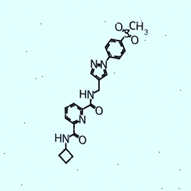 CS(=O)(=O)c1ccc(-n2cc(CNC(=O)c3cccc(C(=O)NC4CCC4)n3)cn2)cc1